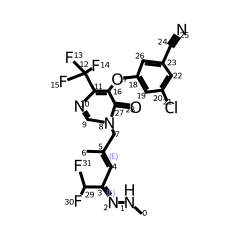 CN/N=C(\C=C(/C)Cn1cnc(C(F)(F)F)c(Oc2cc(Cl)cc(C#N)c2)c1=O)C(F)F